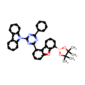 CC1(C)OB(c2cccc3c2oc2cccc(-c4nc(-c5ccccc5)nc(-n5c6ccccc6c6ccccc65)n4)c23)OC1(C)C